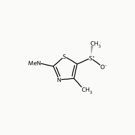 CNc1nc(C)c([S@+](C)[O-])s1